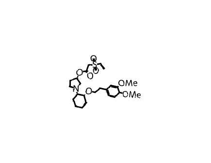 C=CS(=O)(=O)CC(=O)O[C@@H]1CCN([C@@H]2CCCC[C@H]2OCCC2=CCC(OC)C(OC)=C2)C1